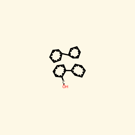 OCc1ccccc1-c1ccccc1.c1ccc(-c2ccccc2)cc1